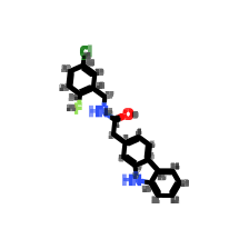 O=C(Cc1ccc2c(c1)[nH]c1ccccc12)NCc1cc(Cl)ccc1F